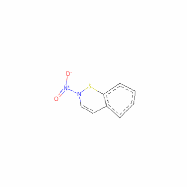 O=[N+]([O-])N1C=Cc2ccccc2S1